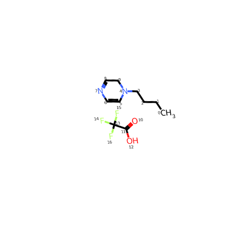 CCCCN1C=CN=CC1.O=C(O)C(F)(F)F